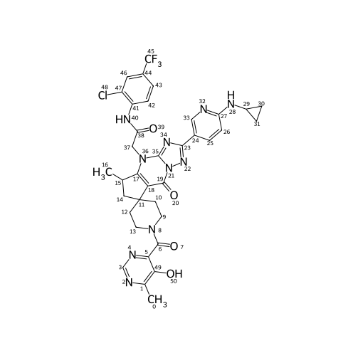 Cc1ncnc(C(=O)N2CCC3(CC2)CC(C)c2c3c(=O)n3nc(-c4ccc(NC5CC5)nc4)nc3n2CC(=O)Nc2ccc(C(F)(F)F)cc2Cl)c1O